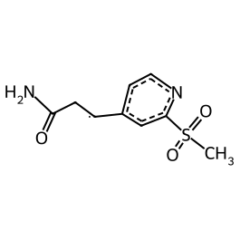 CS(=O)(=O)c1cc([CH]CC(N)=O)ccn1